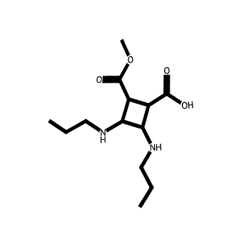 CCCNC1C(NCCC)C(C(=O)OC)C1C(=O)O